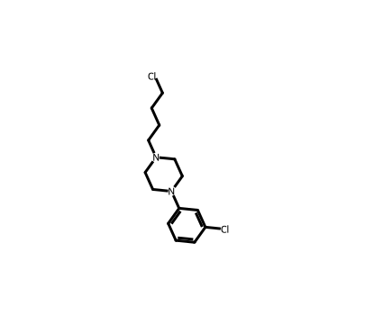 ClCCCCN1CCN(c2cccc(Cl)c2)CC1